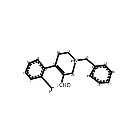 O=CC1=C(c2ccccc2F)CCN(Cc2ccccc2)C1